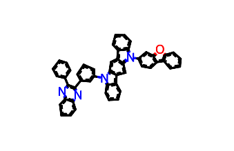 c1ccc(-c2nc3ccccc3nc2-c2cccc(-n3c4ccccc4c4cc5c(cc43)c3ccccc3n5-c3ccc4c(c3)oc3ccccc34)c2)cc1